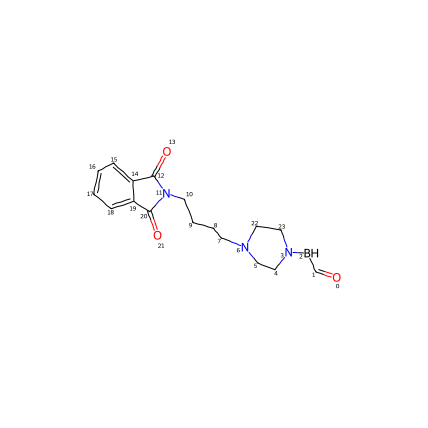 O=CBN1CCN(CCCCN2C(=O)c3ccccc3C2=O)CC1